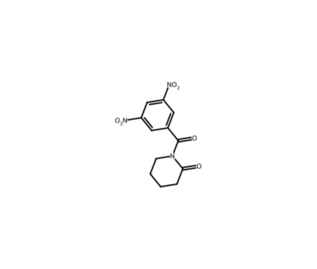 O=C1CCCCN1C(=O)c1cc([N+](=O)[O-])cc([N+](=O)[O-])c1